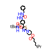 CC(C)CCCCC(=O)OC1CCN(c2ncc(-c3ccc(NC(=O)NCc4ccccc4)cc3S(=O)(=O)NC(C)(C)C)s2)CC1